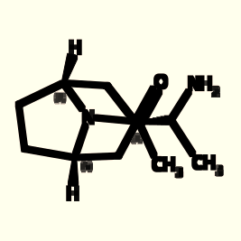 CC(=O)N1[C@@H]2CC[C@H]1C[C@@H](C(C)N)C2